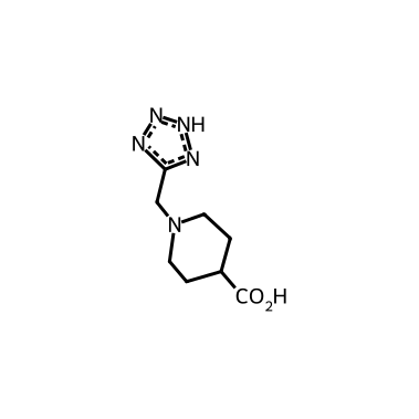 O=C(O)C1CCN(Cc2nn[nH]n2)CC1